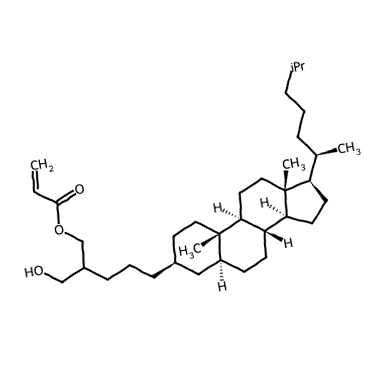 C=CC(=O)OCC(CO)CCC[C@H]1CC[C@@]2(C)[C@@H](CC[C@@H]3[C@@H]2CC[C@]2(C)[C@@H]([C@H](C)CCCC(C)C)CC[C@@H]32)C1